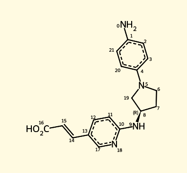 Nc1ccc(N2CC[C@@H](Nc3ccc(C=CC(=O)O)cn3)C2)cc1